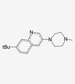 CN1CCN(c2cnc3cc(C(C)(C)C)ccc3c2)CC1